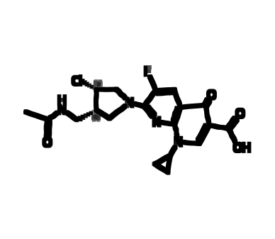 CC(=O)NC[C@H]1CN(c2nc3c(cc2F)c(=O)c(C(=O)O)cn3C2CC2)C[C@H]1Cl